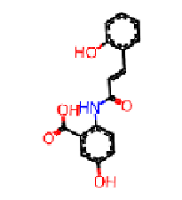 O=C(/C=C/c1ccccc1O)Nc1ccc(O)cc1C(=O)O